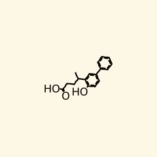 CC(CCC(=O)O)c1cc(-c2ccccc2)ccc1O